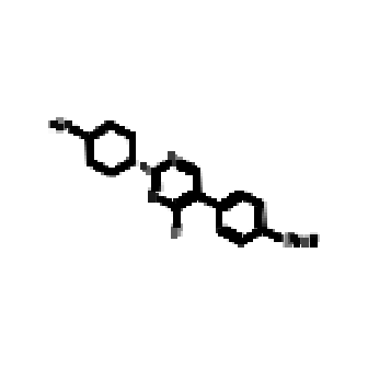 CCCCCc1ccc(-c2cnc([C@H]3CC[C@H](CCC)CC3)nc2F)cc1